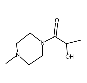 CC(O)C(=O)N1CCN(C)CC1